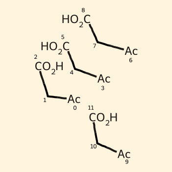 CC(=O)CC(=O)O.CC(=O)CC(=O)O.CC(=O)CC(=O)O.CC(=O)CC(=O)O